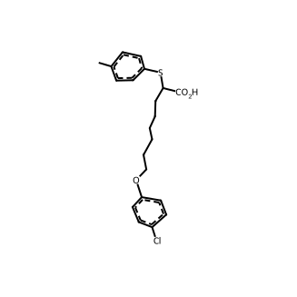 Cc1ccc(SC(CCCCCCOc2ccc(Cl)cc2)C(=O)O)cc1